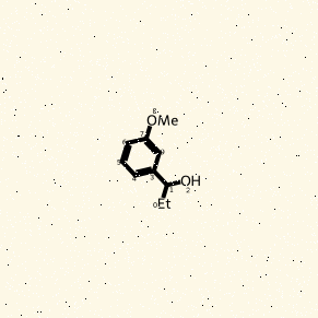 CCC(O)c1cccc(OC)c1